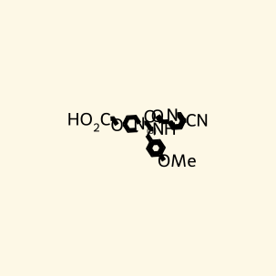 COc1ccc(C[C@H](NC(=O)c2ccc(C#N)cn2)C(=O)N2CCC(OCC(=O)O)CC2)cc1